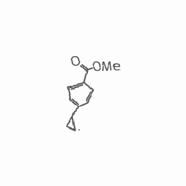 COC(=O)c1ccc(C2[CH]C2)cc1